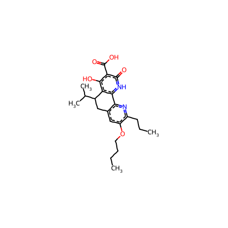 CCCCOc1cc2c(nc1CCC)-c1[nH]c(=O)c(C(=O)O)c(O)c1C(C(C)C)C2